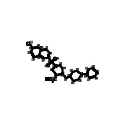 O=C(O)C1CN(S(=O)(=O)c2ccc3cc(Cl)ccc3c2)CCN1CC1CCN(c2ccncc2)CC1